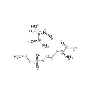 C=CCS(=O)(=O)CSCC[C@H](N)C(=O)O.CN(N=O)C(N)=O.Cl